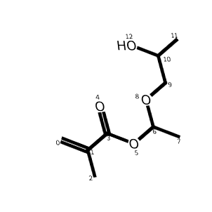 C=C(C)C(=O)OC(C)OCC(C)O